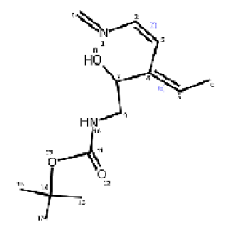 C=N/C=C\C(=C/C)C(O)CNC(=O)OC(C)(C)C